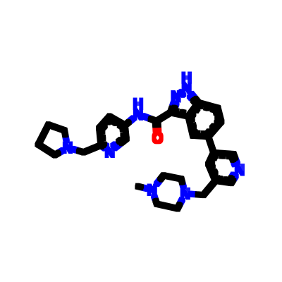 CN1CCN(Cc2cncc(-c3ccc4[nH]nc(C(=O)Nc5ccc(CN6CCCC6)nc5)c4c3)c2)CC1